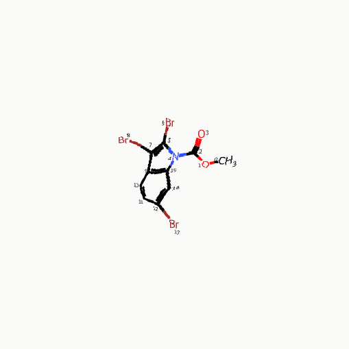 COC(=O)n1c(Br)c(Br)c2ccc(Br)cc21